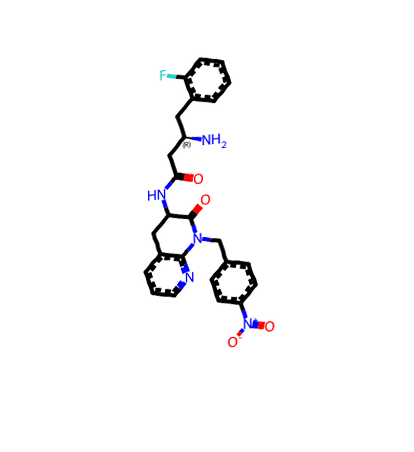 N[C@@H](CC(=O)NC1Cc2cccnc2N(Cc2ccc([N+](=O)[O-])cc2)C1=O)Cc1ccccc1F